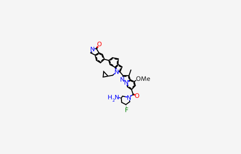 COc1cc(C(=O)N2C[C@H](N)C[C@@H](F)C2)cn2nc(-c3cc4ccc(-c5ccc6c(c5)C(=O)N=C6)cc4n3CC3CC3)c(C)c12